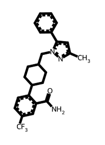 Cc1cc(-c2ccccc2)n(CC2CCC(c3ccc(C(F)(F)F)cc3C(N)=O)CC2)n1